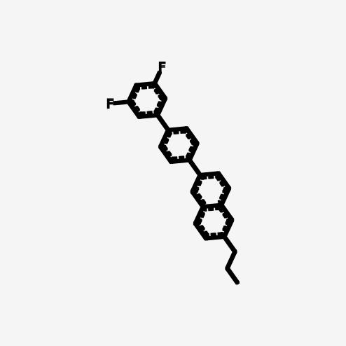 CCCc1ccc2cc(-c3ccc(-c4cc(F)cc(F)c4)cc3)ccc2c1